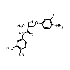 Cc1cc(NC(=O)[C@@](C)(O)COc2ccc(N)c(F)c2)ccc1C#N